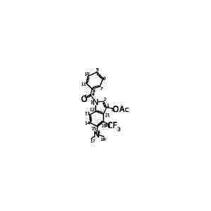 CC(=O)Oc1cn(C(=O)c2ccccc2)c2ccc(N(C)C)c(C(F)(F)F)c12